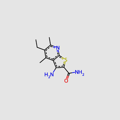 CCc1c(C)nc2sc(C(N)=O)c(N)c2c1C